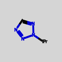 CC(C)n1n[c]nn1